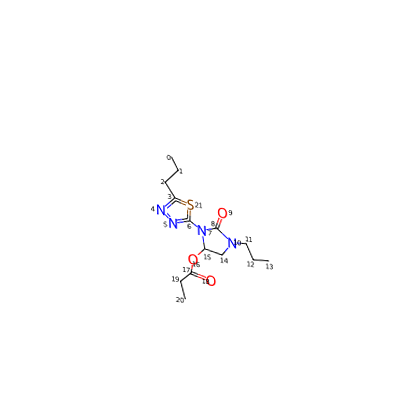 CCCc1nnc(N2C(=O)N(CCC)CC2OC(=O)CC)s1